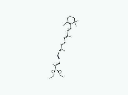 CCOC(OCC)/C(C)=C/C#C/C=C(C)/C=C/C=C(C)/C=C/C1=C(C)CCCC1(C)C